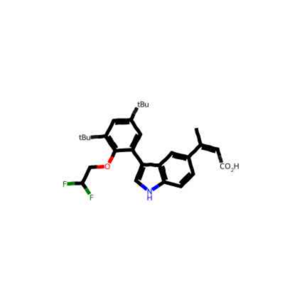 C/C(=C/C(=O)O)c1ccc2[nH]cc(-c3cc(C(C)(C)C)cc(C(C)(C)C)c3OCC(F)F)c2c1